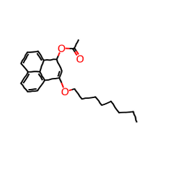 CCCCCCCCOC1=CC(OC(C)=O)c2cccc3cccc1c23